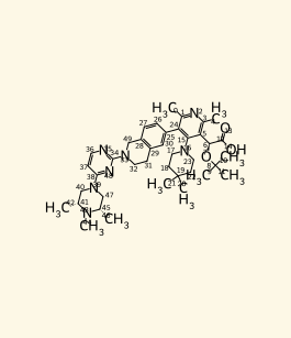 Cc1nc(C)c([C@H](OC(C)(C)C)C(=O)O)c(N2CCC(C)(C)CC2)c1-c1ccc2c(c1)CCN(c1nccc(N3C[C@@H](C)N(C)[C@@H](C)C3)n1)C2